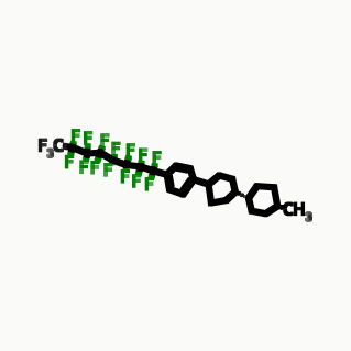 C[C@H]1CC[C@H](C2CCC(c3ccc(C(F)(F)C(F)(F)C(F)(F)C(F)(F)C(F)(F)C(F)(F)C(F)(F)C(F)(F)F)cc3)CC2)CC1